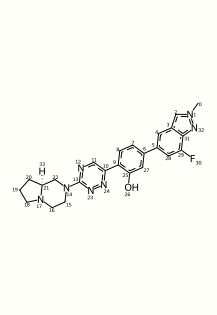 Cn1cc2cc(-c3ccc(-c4cnc(N5CCN6CCC[C@H]6C5)nn4)c(O)c3)cc(F)c2n1